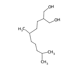 CC(C)CCCC(C)CCC(CO)CO